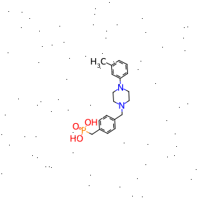 Cc1cccc(N2CCN(Cc3ccc(CP(=O)(O)O)cc3)CC2)c1